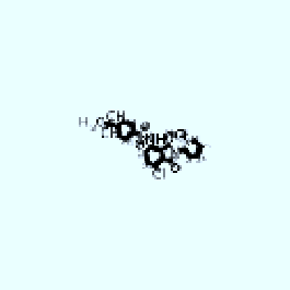 CC(C)(C)c1ccc(S(=O)(=O)Nc2ccc(Cl)c3c2C(=O)N(c2cccc[n+]2O)C3=O)cc1